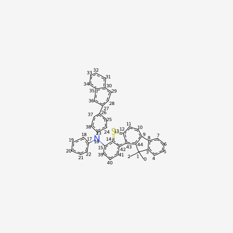 CC1(C)c2ccccc2-c2ccc3sc4c(N(c5ccccc5)c5ccc(-c6ccc7ccccc7c6)cc5)cccc4c3c21